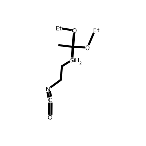 CCOC(C)(OCC)[SiH2]CCN=C=O